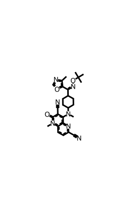 Cc1ncoc1/C(=N\OC(C)(C)C)C1CCC(N(C)c2c(C#N)c(=O)n(C)c3ccc(C#N)nc23)CC1